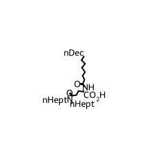 CCCCCCCCCCCCCCCCCC(=O)N[C@@H](CCC(=O)N(CCCCCCC)CCCCCCC)C(=O)O